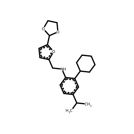 CC(C)c1ccc(NCc2ccc(C3OCCO3)o2)c(C2CCCCC2)c1